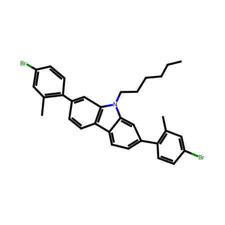 CCCCCCn1c2cc(-c3ccc(Br)cc3C)ccc2c2ccc(-c3ccc(Br)cc3C)cc21